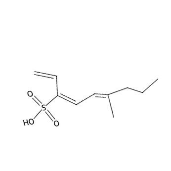 C=C/C(=C\C=C(/C)CCC)S(=O)(=O)O